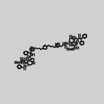 CC[C@H](NC)C(=O)N[C@@H]1C(=O)N2[C@@H](CC[C@@H]1CNC(=O)CCc1cn(CCCCc3ccc(CCCCn4cc([C@@H](NC(=O)[C@@H]5CC[C@@H]6CC[C@H](CNCc7ccccc7)[C@H](NC(=O)[C@H](CC)NC)C(=O)N65)c5ccccc5)nn4)cc3)nn1)CC[C@H]2C(=O)NC(c1ccccc1)c1ccccc1